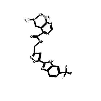 CN(C)Cc1c(N)ncnc1C(=O)NCc1cc(-c2nc3ccc(C(F)(F)F)cc3[nH]2)on1